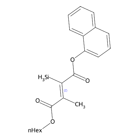 CCCCCCOC(=O)/C(C)=C(\[SiH3])C(=O)Oc1cccc2ccccc12